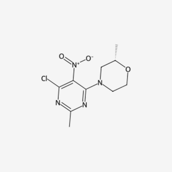 Cc1nc(Cl)c([N+](=O)[O-])c(N2CCO[C@@H](C)C2)n1